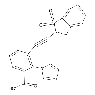 O=C(O)c1cccc(C#CN2Cc3ccccc3S2(=O)=O)c1-n1cccc1